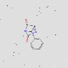 O=C1N=C2C(=O)N1C2c1ccccc1